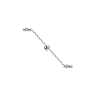 C=C=O.CCCCCCCCCCCCCCCCCCCCCCCCOCCCCCCCCCCCCCCCCCCCCCCCC